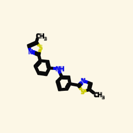 Cc1cnc(-c2cccc(Nc3cccc(-c4ncc(C)s4)c3)c2)s1